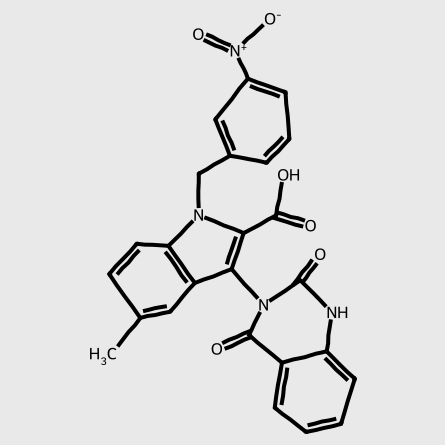 Cc1ccc2c(c1)c(-n1c(=O)[nH]c3ccccc3c1=O)c(C(=O)O)n2Cc1cccc([N+](=O)[O-])c1